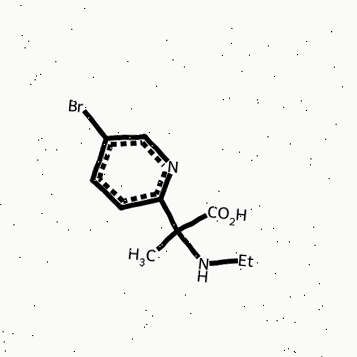 CCNC(C)(C(=O)O)c1ccc(Br)cn1